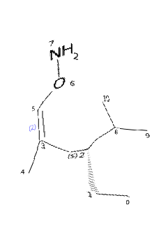 CC[C@H](/C(C)=C\ON)C(C)C